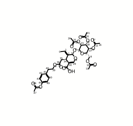 C/C=C1/[C@@H](O[C@H]2O[C@@H](COC(C)=O)[C@H](OC(C)=O)[C@@H](OC(C)=O)[C@@H]2OC(C)=O)OC=C(C(=O)O)[C@H]1CC(=O)OCCc1ccc(OC(C)=O)cc1